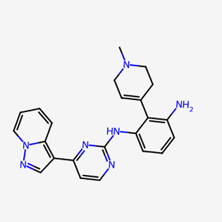 CN1CC=C(c2c(N)cccc2Nc2nccc(-c3cnn4ccccc34)n2)CC1